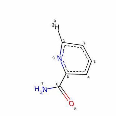 [2H]c1cccc(C(N)=O)n1